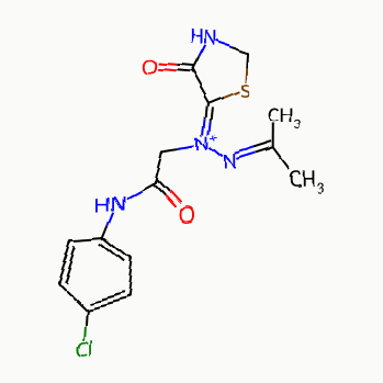 CC(C)=N[N+](CC(=O)Nc1ccc(Cl)cc1)=C1SCNC1=O